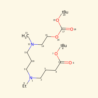 CCN(CCCC(=O)OC(C)(C)C)CCCN(C)CCOC(=O)OC(C)(C)C